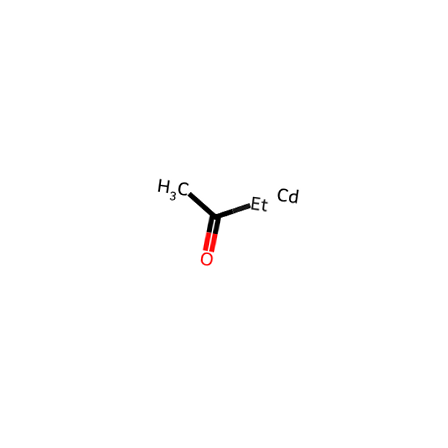 CCC(C)=O.[Cd]